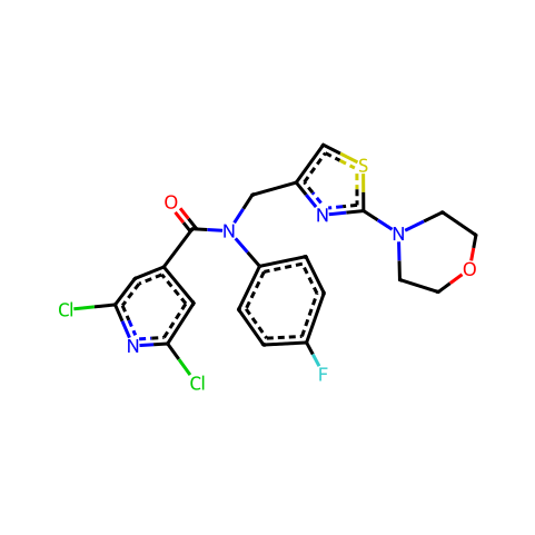 O=C(c1cc(Cl)nc(Cl)c1)N(Cc1csc(N2CCOCC2)n1)c1ccc(F)cc1